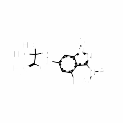 C=C1OB(c2cc(F)c3c(N(C(C)=O)C(C)=O)nn(C(C)=O)c3c2)OC1(C)C